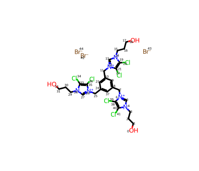 OCCCn1c[n+](Cc2cc(C[n+]3cn(CCCO)c(Cl)c3Cl)cc(C[n+]3cn(CCCO)c(Cl)c3Cl)c2)c(Cl)c1Cl.[Br-].[Br-].[Br-]